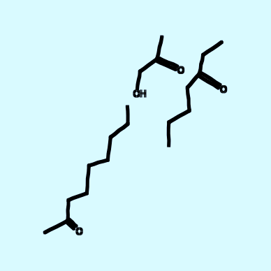 CC(=O)CO.CCCCC(=O)CC.CCCCCCCC(C)=O